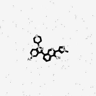 CC(=O)N1CCc2c(c(-c3cccc4c(C#N)c(-c5cnn(C)c5)ncc34)nn2C2CCOCC2)C1